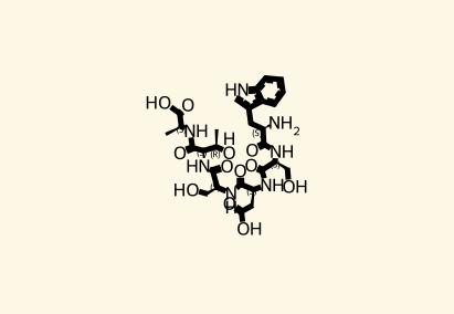 C[C@H](NC(=O)[C@@H](NC(=O)[C@H](CO)NC(=O)[C@H](CC(=O)O)NC(=O)[C@H](CO)NC(=O)[C@@H](N)Cc1c[nH]c2ccccc12)[C@@H](C)O)C(=O)O